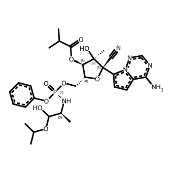 CC(C)OC(O)[C@H](C)N[P@](=O)(OC[C@H]1O[C@@](C#N)(c2ccc3c(N)ncnn23)[C@](C)(O)[C@@H]1OC(=O)C(C)C)Oc1ccccc1